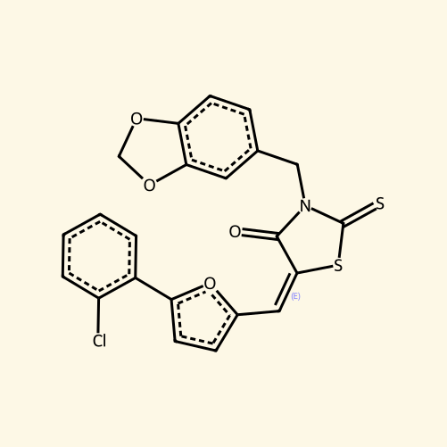 O=C1/C(=C\c2ccc(-c3ccccc3Cl)o2)SC(=S)N1Cc1ccc2c(c1)OCO2